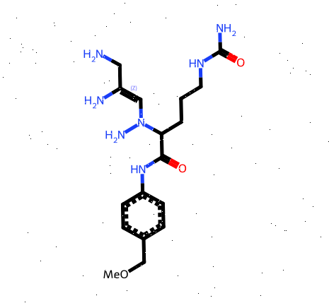 COCc1ccc(NC(=O)C(CCCNC(N)=O)N(N)/C=C(\N)CN)cc1